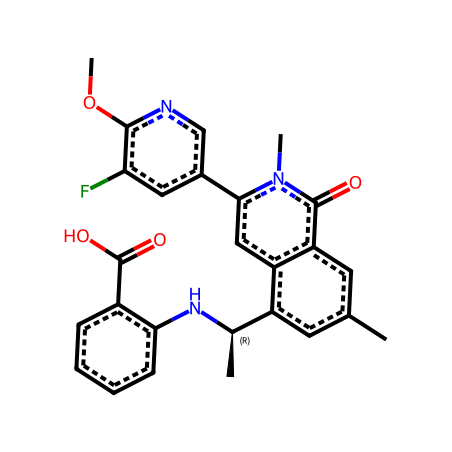 COc1ncc(-c2cc3c([C@@H](C)Nc4ccccc4C(=O)O)cc(C)cc3c(=O)n2C)cc1F